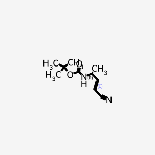 C[C@H](/C=C/C#N)NC(=O)OC(C)(C)C